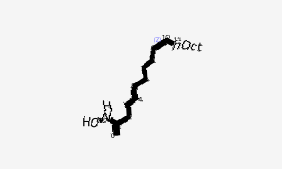 C=C(CCCCCCC/C=C\CCCCCCCC)NO